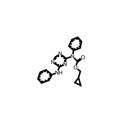 O=C(OCC1CC1)N(c1ccccc1)c1ncnc(Nc2ccccc2)n1